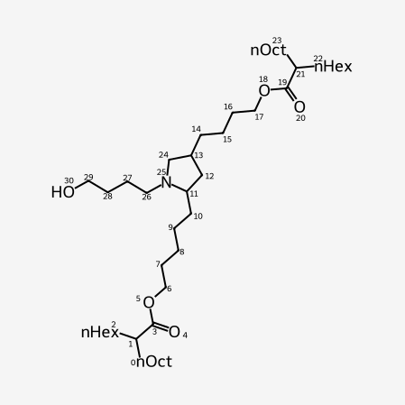 CCCCCCCCC(CCCCCC)C(=O)OCCCCCC1CC(CCCCOC(=O)C(CCCCCC)CCCCCCCC)CN1CCCCO